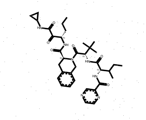 CCC[C@H](NC(=O)[C@@H]1Cc2ccccc2CN1C(=O)[C@@H](NC(=O)[C@@H](NC(=O)c1cnccn1)C(C)CC)C(C)(C)C)C(=O)C(=O)NC1CC1